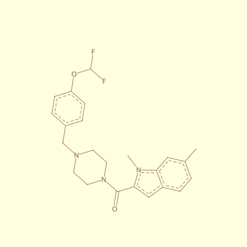 Cc1ccc2cc(C(=O)N3CCN(Cc4ccc(OC(F)F)cc4)CC3)n(C)c2c1